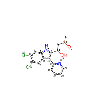 C[S+]([O-])CC(O)c1[nH]c2cc(Cl)c(Cl)cc2c1-c1ccccn1